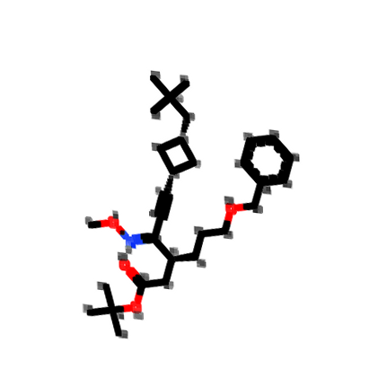 CO/N=C(\C#C[C@H]1C[C@@H](CC(C)(C)C)C1)[C@@H](CCCOCc1ccccc1)CC(=O)OC(C)(C)C